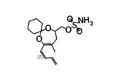 C=C/C=C\C1=C(C)CC(COS(N)(=O)=O)OC2(CCCCC2)O1